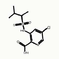 CC(C)C(C)S(=O)(=O)Nc1cc(Cl)cnc1C(=O)O